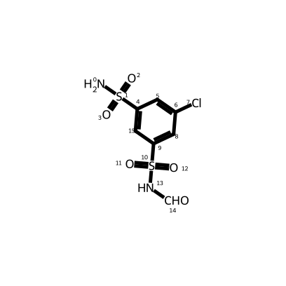 NS(=O)(=O)c1cc(Cl)cc(S(=O)(=O)NC=O)c1